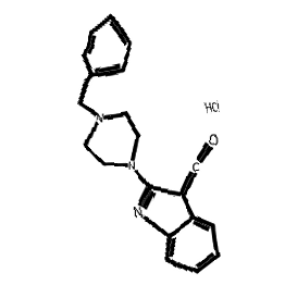 Cl.O=C=C1C(N2CCN(Cc3ccccc3)CC2)=Nc2ccccc21